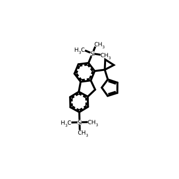 C[Si](C)(C)c1ccc2c(c1)Cc1c-2ccc([Si](C)(C)C)c1C1(C2=CC=CC2)CC1